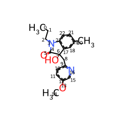 CCCN1C(=O)C(O)(Cc2ccc(OC)cn2)c2cc(C)ccc21